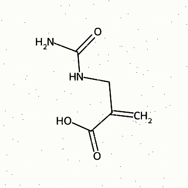 C=C(CNC(N)=O)C(=O)O